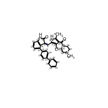 Cc1[nH]c(/C=C2\C(=O)Nc3cccc(-c4ccc(-c5ccccc5)cc4)c32)c(C)c1C(=O)N1CCN(C)CC1